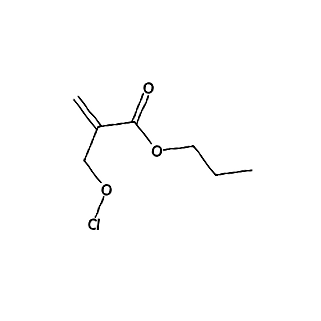 C=C(COCl)C(=O)OCCC